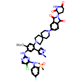 COc1cc(N2CCC3(CCN(c4ccc5c(c4)C(=O)N(C4CCC(=O)NC4=O)C5=O)CC3)CC2)c(-c2cnn(C)c2)cc1Nc1ncc(Cl)c(Nc2ccc(F)cc2P(C)(C)=O)n1